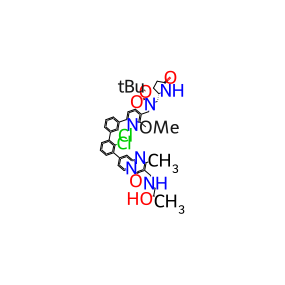 COc1nc(-c2cccc(-c3cccc(-c4ccn5c(=O)c(CNC[C@H](C)O)c(C)nc5c4)c3Cl)c2Cl)ccc1CN(C[C@@H]1CCC(=O)N1)C(=O)OC(C)(C)C